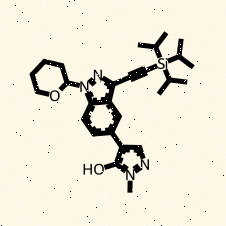 CC(C)[Si](C#Cc1nn(C2CCCCO2)c2ccc(-c3cnn(C)c3O)cc12)(C(C)C)C(C)C